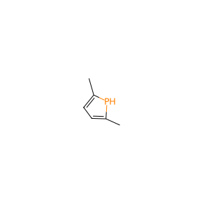 Cc1ccc(C)[pH]1